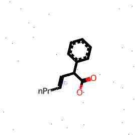 CCC/C=C/C(C([O])=O)c1ccccc1